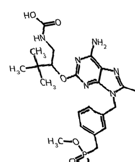 COP(=O)(O)Cc1cccc(Cn2c(Br)nc3c(N)nc(OC(CNC(=O)O)C(C)(C)C)nc32)c1